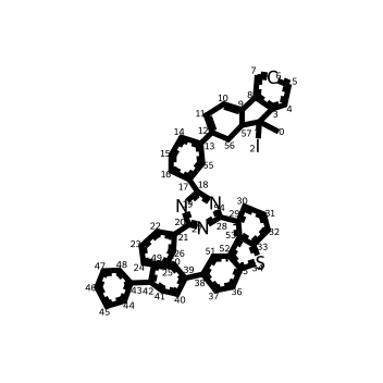 CC1(I)c2ccccc2C2=CC=C(c3cccc(-c4nc(-c5ccccc5)nc(-c5cccc6sc7ccc(-c8ccc(-c9ccccc9)cc8)cc7c56)n4)c3)CC21